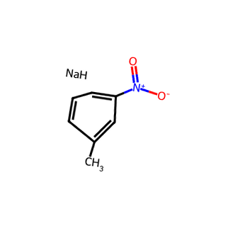 Cc1cccc([N+](=O)[O-])c1.[NaH]